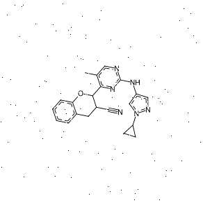 Cc1cnc(Nc2cnn(C3CC3)c2)nc1C1Oc2ccccc2CC1C#N